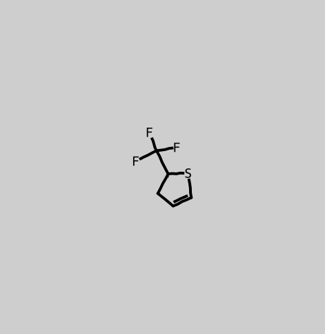 FC(F)(F)[C]1CC=CS1